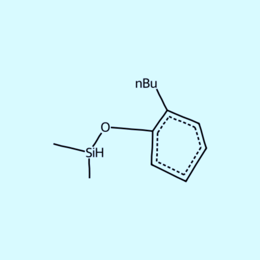 CCCCc1ccccc1O[SiH](C)C